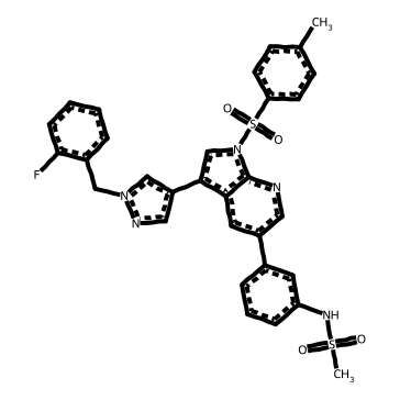 Cc1ccc(S(=O)(=O)n2cc(-c3cnn(Cc4ccccc4F)c3)c3cc(-c4cccc(NS(C)(=O)=O)c4)cnc32)cc1